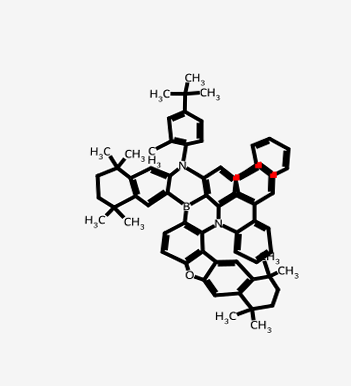 Cc1cc(C(C)(C)C)ccc1N1c2cc3c(cc2B2c4ccc5oc6cc7c(cc6c5c4N(c4ccccc4-c4ccccc4)c4cc(-c5ccccc5)cc1c42)C(C)(C)CCC7(C)C)C(C)(C)CCC3(C)C